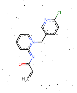 C=CC(=O)/N=c1\ccccn1Cc1ccc(Cl)nc1